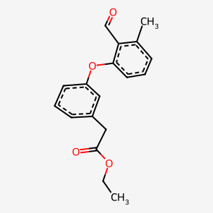 CCOC(=O)Cc1cccc(Oc2cccc(C)c2C=O)c1